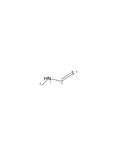 CN[C]=S